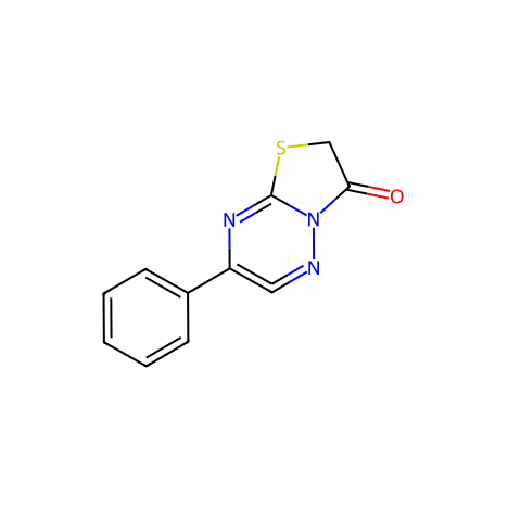 O=C1CSC2=NC(c3ccccc3)=C=NN12